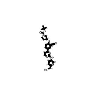 CC(C)(C)OC(=O)N1CC[C@@H](Oc2ccc(-c3ccnc(Nc4ccc(CO)nc4)n3)cc2C#N)C1